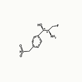 N[C@H](CF)[C@H](O)c1ccc(C[SH](=O)=O)cc1